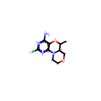 CC1Oc2c(N)nc(Cl)nc2N2CCOCC12